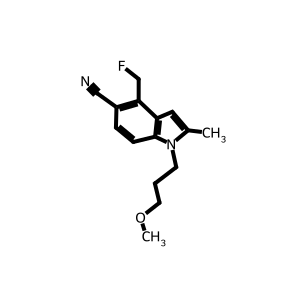 COCCCn1c(C)cc2c(CF)c(C#N)ccc21